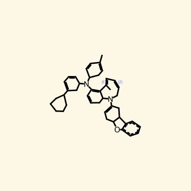 CC1=CCC(N(C2=C3/C(C)=C/C=C\CN(C4=CCC5Oc6ccccc6C5C4)C3CC=C2)C2C=CC=C(C3CCCCC3)C2)C=C1